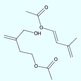 C=C(C)C=COC(C)=O.C=C(CO)CCOC(C)=O